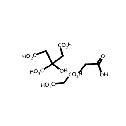 CCC(=O)O.O=C(O)CC(=O)O.O=C(O)CC(O)(CC(=O)O)C(=O)O